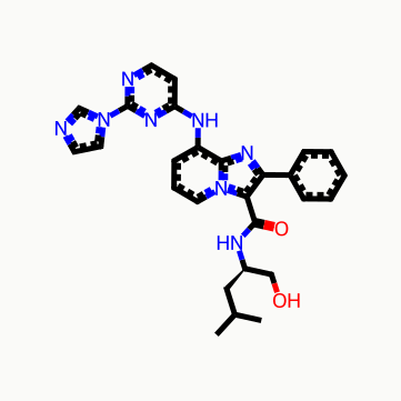 CC(C)C[C@H](CO)NC(=O)c1c(-c2ccccc2)nc2c(Nc3ccnc(-n4ccnc4)n3)cccn12